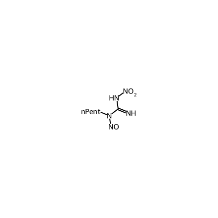 CCCCCN(N=O)C(=N)N[N+](=O)[O-]